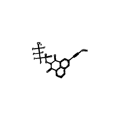 CCCCCCC#Cc1cc2c3c(cccc3c1)C(=O)N(OS(=O)(=O)C(F)(F)C(F)(F)C(F)(F)C(F)(F)F)C2=O